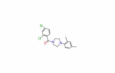 Cc1ccc(N2CCN(C(=O)c3ccc(Br)cc3Cl)CC2)c(C)c1